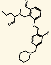 CCCC(C=O)N(C)Cc1c(C=O)cccc1SCc1ccc(CN2CCCCC2)cc1F